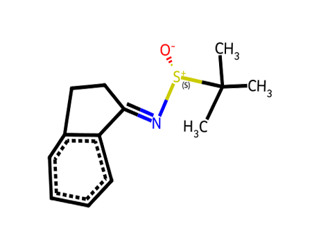 CC(C)(C)[S@@+]([O-])N=C1CCc2ccccc21